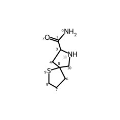 NC(=O)C1CC2(CCCS2)CN1